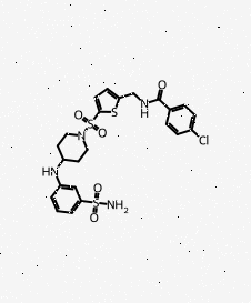 NS(=O)(=O)c1cccc(NC2CCN(S(=O)(=O)c3ccc(CNC(=O)c4ccc(Cl)cc4)s3)CC2)c1